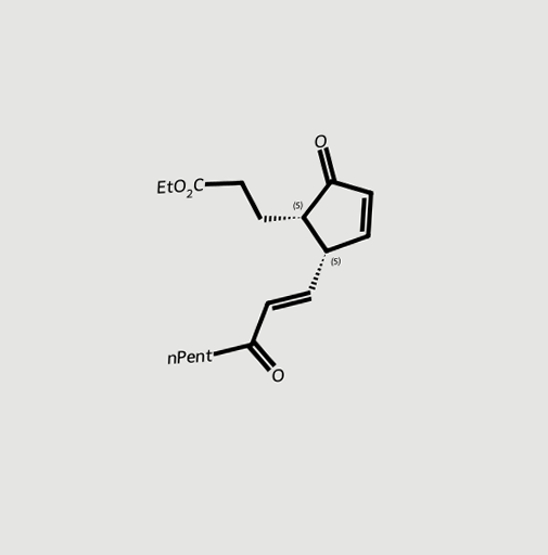 CCCCCC(=O)C=C[C@H]1C=CC(=O)[C@H]1CCC(=O)OCC